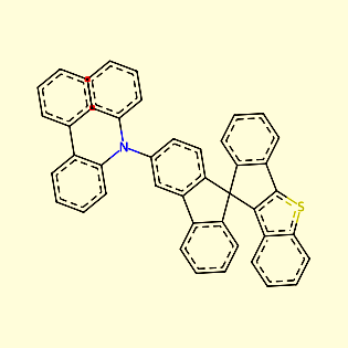 c1ccc(-c2ccccc2N(c2ccccc2)c2ccc3c(c2)-c2ccccc2C32c3ccccc3-c3sc4ccccc4c32)cc1